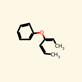 C/C=C\C(=C/C)Oc1ccccc1